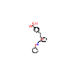 O=C(O)c1ccc(CCC2C3CCC(O3)C2C=NOC2CCCCC2)cc1